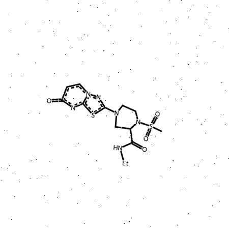 CCNC(=O)C1CN(c2nn3ccc(=O)nc3s2)CCN1S(C)(=O)=O